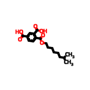 CC(C)CCCCCCOC(=O)c1ccc(C(=O)O)cc1C(=O)O